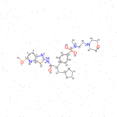 COc1ccc2nc(NC(=O)C(CC3CCCC3)c3ccc(S(=O)(=O)N(C)CCN4CCOCC4)cc3)sc2n1